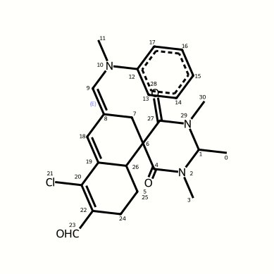 CC1N(C)C(=O)C2(C/C(=C\N(C)c3ccccc3)C=C3C(Cl)=C(C=O)CCC32)C(=O)N1C